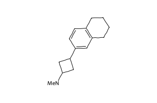 CNC1CC(c2ccc3c(c2)CCCC3)C1